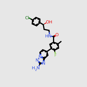 Cc1cc(F)c(-c2ccn3nc(N)nc3c2)cc1C(=O)NCC[C@H](O)c1ccc(Cl)cc1